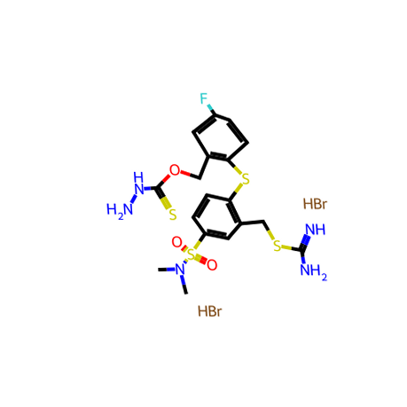 Br.Br.CN(C)S(=O)(=O)c1ccc(Sc2ccc(F)cc2COC(=S)NN)c(CSC(=N)N)c1